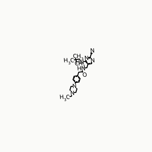 CCN1CCN(c2ccc(CC(=O)NCc3cnc(C#N)nc3NCC(C)(C)C)cc2)CC1